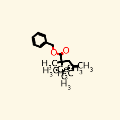 CC(C)C[C](C)(C(=O)OCc1ccccc1)[Ge]([CH3])([CH3])[CH3]